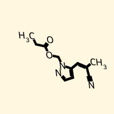 CCC(=O)OCn1nccc1C=C(C)C#N